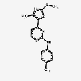 COc1nc(C)c(-c2ccnc(Nc3ccc(C)cc3)n2)s1